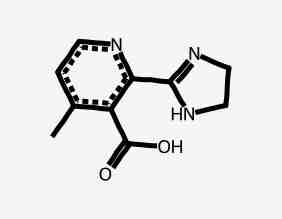 Cc1ccnc(C2=NCCN2)c1C(=O)O